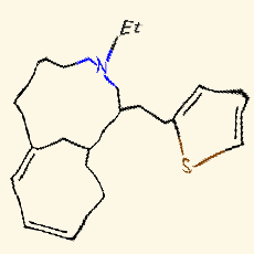 CCN1CCC2=CC=CCC2C1c1cccs1